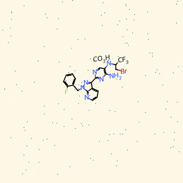 Nc1nc(-c2nn(Cc3ccccc3F)c3ncccc23)ncc1N(C(=O)O)C(CBr)C(F)(F)F